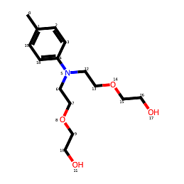 Cc1ccc(N(CCOCCO)CCOCCO)cc1